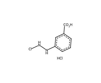 Cl.O=C(O)c1cccc(NNCl)c1